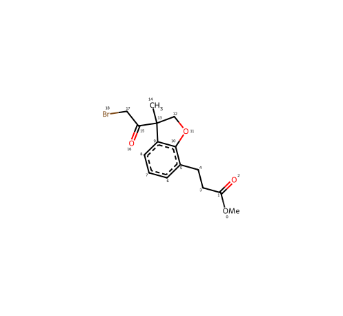 COC(=O)CCc1cccc2c1OCC2(C)C(=O)CBr